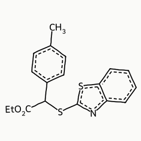 CCOC(=O)C(Sc1nc2ccccc2s1)c1ccc(C)cc1